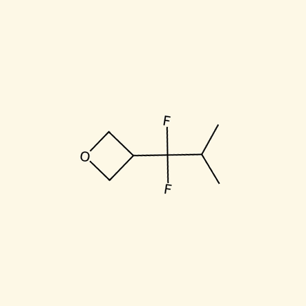 CC(C)C(F)(F)C1COC1